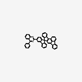 c1ccc(-c2nc(-c3ccc4c(c3)-c3ccccc3C43c4ccccc4-c4c3cc3c5c(cccc45)-c4ccccc4-3)nc3ccccc23)cc1